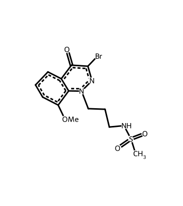 COc1cccc2c(=O)c(Br)nn(CCCNS(C)(=O)=O)c12